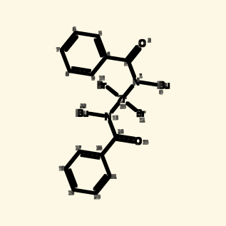 CCC(C)[N](C(=O)c1ccccc1)[Zr]([Br])([Br])[N](C(=O)c1ccccc1)C(C)CC